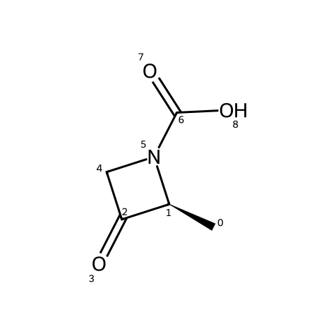 C[C@H]1C(=O)CN1C(=O)O